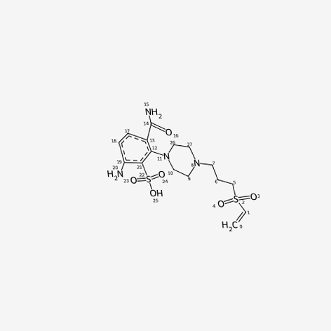 C=CS(=O)(=O)CCCN1CCN(c2c(C(N)=O)ccc(N)c2S(=O)(=O)O)CC1